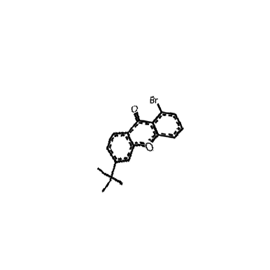 CC(C)(C)c1ccc2c(=O)c3c(Br)cccc3oc2c1